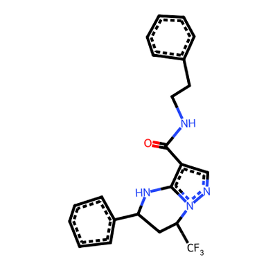 O=C(NCCc1ccccc1)c1cnn2c1NC(c1ccccc1)CC2C(F)(F)F